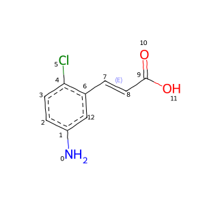 Nc1ccc(Cl)c(/C=C/C(=O)O)c1